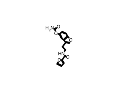 NC(=O)Oc1ccc2occ(CCNC(=O)c3ccco3)c2c1